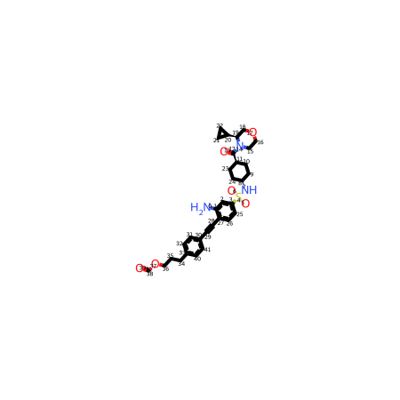 Nc1cc(S(=O)(=O)N[C@H]2CC[C@H](C(=O)N3CCOC[C@@H]3C3CC3)CC2)ccc1C#Cc1ccc(CCCOC=O)cc1